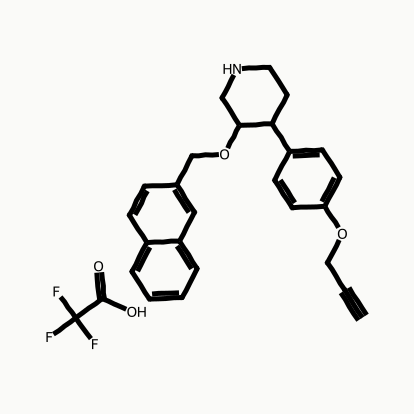 C#CCOc1ccc(C2CCNCC2OCc2ccc3ccccc3c2)cc1.O=C(O)C(F)(F)F